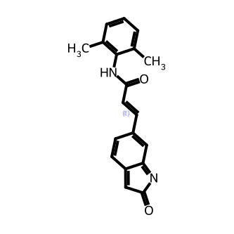 Cc1cccc(C)c1NC(=O)/C=C/c1ccc2c(c1)=NC(=O)C=2